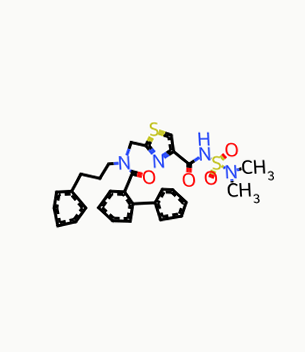 CN(C)S(=O)(=O)NC(=O)c1csc(CN(CCCc2ccccc2)C(=O)c2ccccc2-c2ccccc2)n1